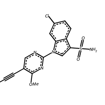 CC#Cc1cnc(-n2cc(S(N)(=O)=O)c3ccc(Cl)cc32)nc1OC